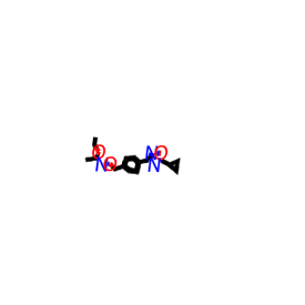 CCOC(C)=NOCc1ccc(-c2noc(C3CC3)n2)cc1